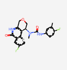 Cc1cc(NC(=O)N(C)C2COCc3[nH]c(=O)c4cc(F)ccc4c32)ccc1F